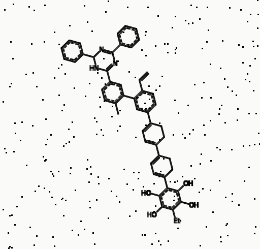 C=Cc1ccc(C2=CC=C(C3=CC=C(c4c(O)c(O)c(CC)c(O)c4O)CC3)CC2)cc1-c1cc(C2=NC(c3ccccc3)=NC(c3ccccc3)N2)ccc1C